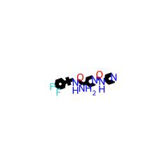 CC(C)(CNC(=O)C(N)C1CCN(C(=O)Nc2ccncc2)CC1)c1ccc(F)c(F)c1